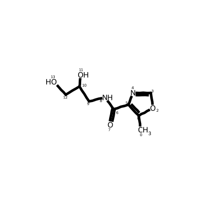 Cc1ocnc1C(=O)NCC(O)CO